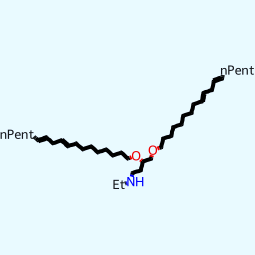 CCCCCC=CCC=CCCCCCCCCOCC(CCNCC)OCCCCCCCCC=CCC=CCCCCC